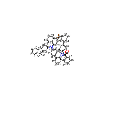 CC1(C)c2ccccc2-c2ccc(N(c3ccc(-c4ccccc4)cc3)c3cc4c(sc5cccc(-c6ccc7nc(-c8ccccc8)oc7c6)c54)c4ccccc34)cc21